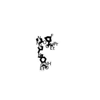 CCN(C(=O)c1cc(F)ccc1Oc1cncnc1N1CCC(CN2CC3(CCC(NS(=O)(=O)CC)CC3)C2)C1)C(C)C